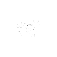 CC(=CN1C(C)(C)CCCC1(C)C)C(=O)O